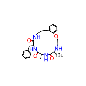 CCC(C)[C@@H]1NCCOc2ccccc2CCCNC(=O)[C@@H](Cc2ccccc2)NC(=O)[C@@H](C)NC1=O